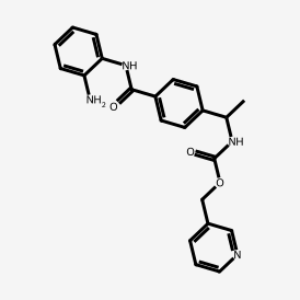 CC(NC(=O)OCc1cccnc1)c1ccc(C(=O)Nc2ccccc2N)cc1